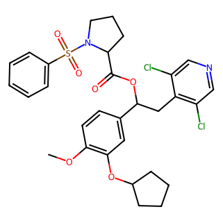 COc1ccc(C(Cc2c(Cl)cncc2Cl)OC(=O)C2CCCN2S(=O)(=O)c2ccccc2)cc1OC1CCCC1